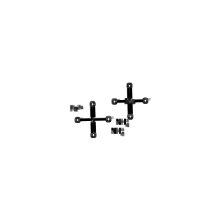 O=S(=O)([O-])[O-].[Fe+2].[NH4+].[NH4+].[O]=[Mo](=[O])([O-])[O-]